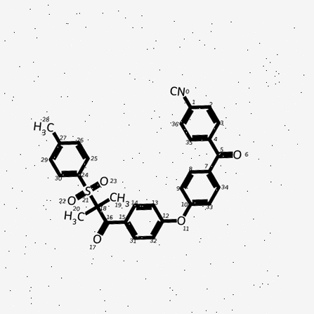 [C-]#[N+]c1ccc(C(=O)c2ccc(Oc3ccc(C(=O)C(C)(C)S(=O)(=O)c4ccc(C)cc4)cc3)cc2)cc1